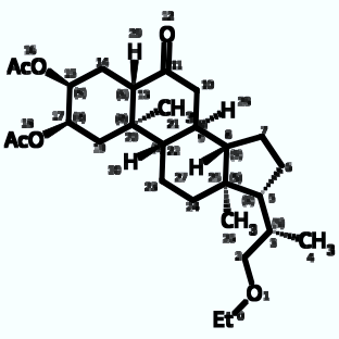 CCOC[C@@H](C)[C@H]1CC[C@H]2[C@@H]3CC(=O)[C@H]4C[C@H](OC(C)=O)[C@H](OC(C)=O)C[C@]4(C)[C@H]3CC[C@]12C